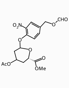 COC(=O)[C@@H]1CC(OC(C)=O)CC(Oc2ccc(COC=O)cc2[N+](=O)[O-])O1